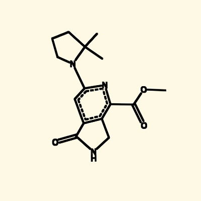 COC(=O)c1nc(N2CCCC2(C)C)cc2c1CNC2=O